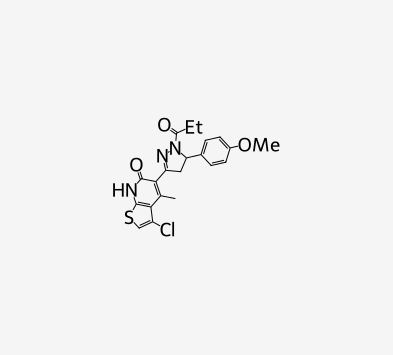 CCC(=O)N1N=C(c2c(C)c3c(Cl)csc3[nH]c2=O)CC1c1ccc(OC)cc1